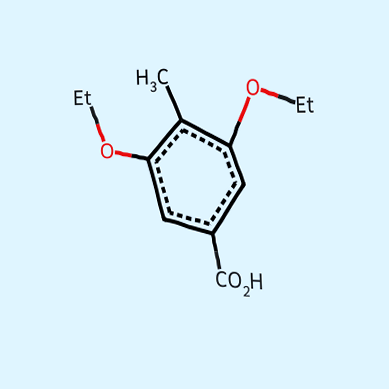 CCOc1cc(C(=O)O)cc(OCC)c1C